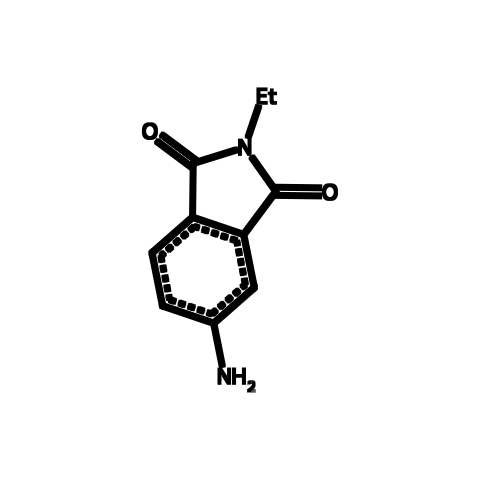 [CH2]CN1C(=O)c2ccc(N)cc2C1=O